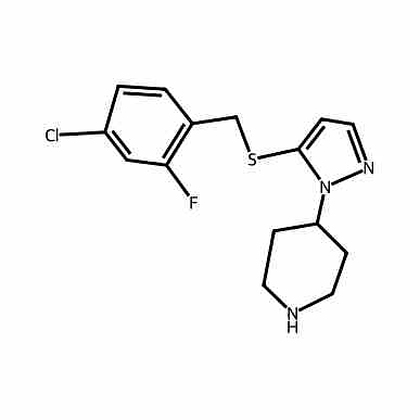 Fc1cc(Cl)ccc1CSc1ccnn1C1CCNCC1